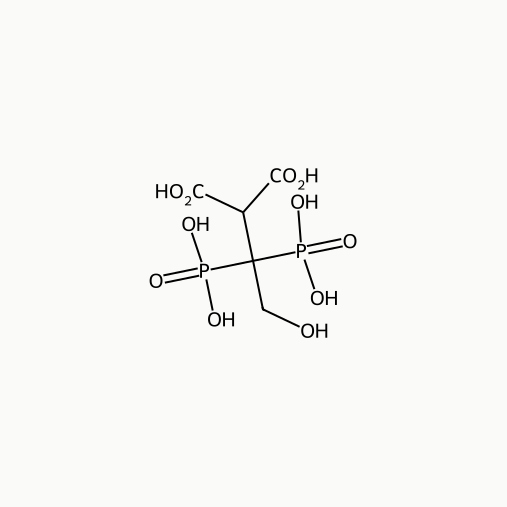 O=C(O)C(C(=O)O)C(CO)(P(=O)(O)O)P(=O)(O)O